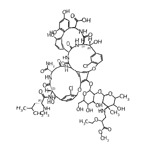 CCOC(CNC1(C)CC(OC2C(Oc3c4cc5cc3Oc3ccc(cc3Cl)[C@@H](O)[C@@H]3NC(=O)C(NC(=O)C5NC(=O)CC(C(N)=O)NC(=O)[C@@H](NC(=O)[C@@H](CC(C)C)NC)C(O)c5ccc(c(Cl)c5)O4)c4ccc(O)c(c4)-c4c(O)cc(O)cc4C(C(=O)O)NC3=O)OC(CO)C(O)C2O)OC(C)C1O)C(=O)OC